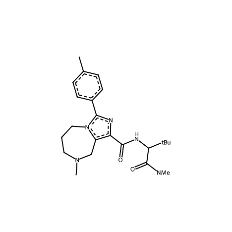 CNC(=O)C(NC(=O)c1nc(-c2ccc(C)cc2)n2c1CN(C)CCC2)C(C)(C)C